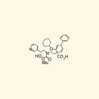 CC(C)(C)OC(=O)N(CCC1(C(=O)O)C=CC(c2ccccc2)C=C1OC1CCCCC1)C[C@H](O)c1cccnc1